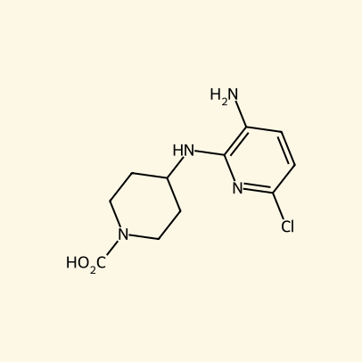 Nc1ccc(Cl)nc1NC1CCN(C(=O)O)CC1